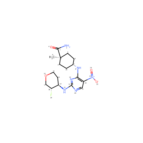 C[C@]1(C(N)=O)CC[C@H](Nc2nc(N[C@@H]3CCOC[C@H]3F)ncc2[N+](=O)[O-])CC1